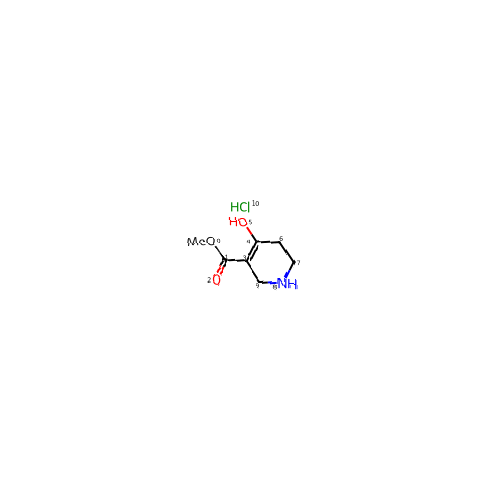 COC(=O)C1=C(O)CCNC1.Cl